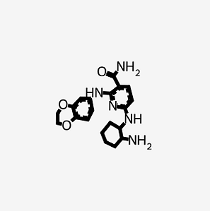 NC(=O)c1ccc(NC2CCCCC2N)nc1Nc1ccc2c(c1)OCCO2